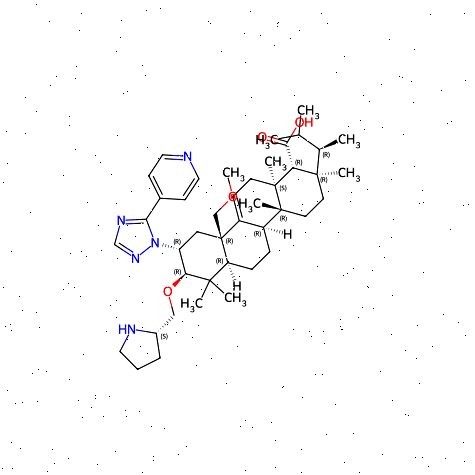 COC[C@]12C[C@@H](n3ncnc3-c3ccncc3)[C@H](OC[C@@H]3CCCN3)C(C)(C)[C@@H]1CC[C@H]1C2=CC[C@@]2(C)[C@H](C(=O)O)[C@@](C)([C@H](C)C(C)C)CC[C@]12C